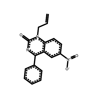 C=CCn1c(=O)nc(-c2ccccc2)c2cc([N+](=O)[O-])ccc21